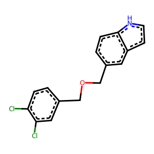 Clc1ccc(COCc2ccc3[nH]ccc3c2)cc1Cl